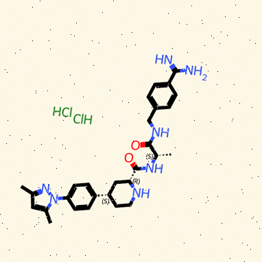 Cc1cc(C)n(-c2ccc([C@H]3CCN[C@@H](C(=O)N[C@@H](C)C(=O)NCc4ccc(C(=N)N)cc4)C3)cc2)n1.Cl.Cl